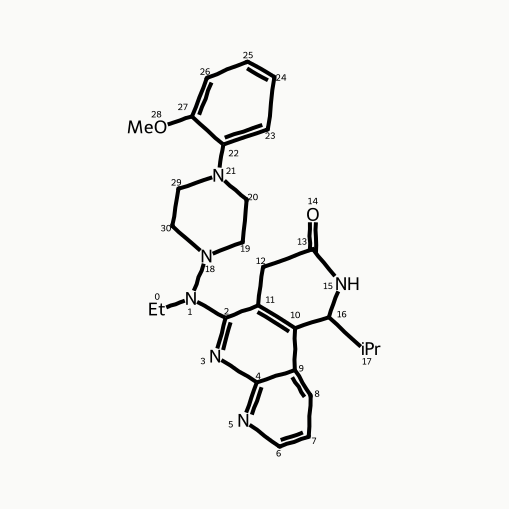 CCN(c1nc2ncccc2c2c1CC(=O)NC2C(C)C)N1CCN(c2ccccc2OC)CC1